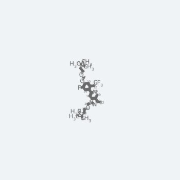 C[Si](C)(C)CCOCOc1cc(CC(F)(F)F)c(-c2cc3c(cn2)c(I)nn3COCC[Si](C)(C)C)cc1F